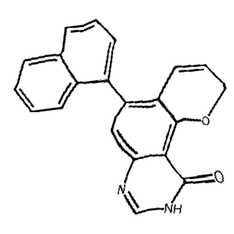 O=c1[nH]cnc2cc(-c3cccc4ccccc34)c3c(c12)OCC=C3